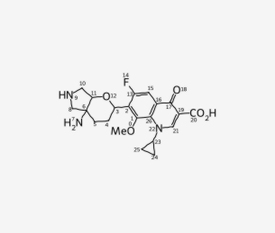 COc1c(C2CCC3(N)CNCC3O2)c(F)cc2c(=O)c(C(=O)O)cn(C3CC3)c12